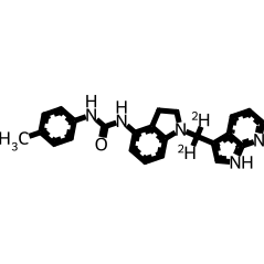 [2H]C([2H])(c1c[nH]c2ncccc12)N1CCc2c(NC(=O)Nc3ccc(C)cc3)cccc21